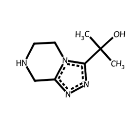 CC(C)(O)c1nnc2n1CCNC2